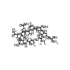 CC[C@H](C)[C@H](N)C(=O)N[C@@H](CC(=O)O)C(=O)N[C@@H](CCC(N)=O)C(=O)N[C@@H](CCC(N)=O)C(=O)N[C@H](C(=O)N[C@@H](CC(C)C)C(=O)N[C@@H](CO)C(=O)N[C@@H](CCCNC(=N)N)C(=O)N[C@H](C(=O)O)[C@@H](C)CC)C(C)C